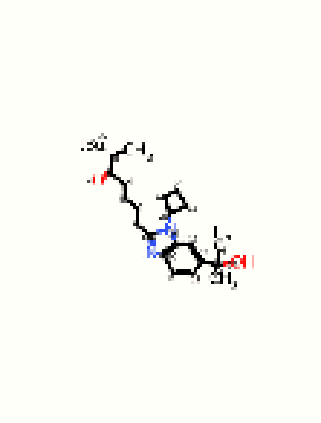 C[C@H](C(=O)CCCCc1nc2ccc(C(C)(C)O)cc2n1C1CCC1)C(C)(C)C